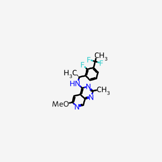 COc1cc2c(N[C@H](C)c3cccc(C(C)(F)F)c3F)nc(C)nc2cn1